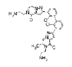 Cc1cn2nc(-c3cccc(-c4cccc(-c5cc6c(=O)n(CCN)ccn6n5)c4Cl)c3Cl)cc2c(=O)n1CCN